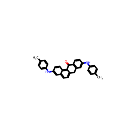 Cc1ccc(Nc2ccc3c(c2)Cc2ccc4cc(Nc5ccc(C)cc5)ccc4c2C3=O)cc1